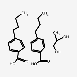 CC(O)CO.CCCCc1ccc(C(=O)O)cc1.CCCCc1ccc(C(=O)O)cc1